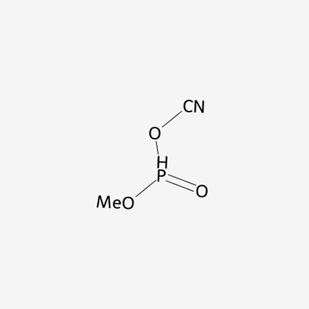 CO[PH](=O)OC#N